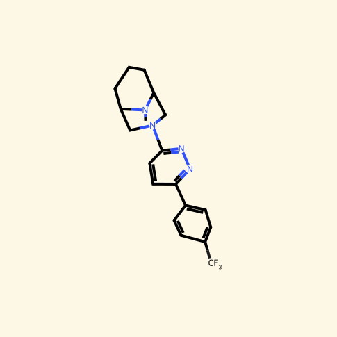 CN1C2CCCC1CN(c1ccc(-c3ccc(C(F)(F)F)cc3)nn1)C2